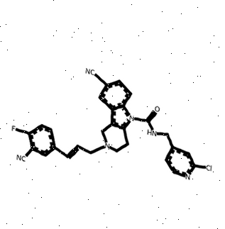 N#Cc1ccc2c(c1)c1c(n2C(=O)NCc2ccnc(Cl)c2)CCN(CC=Cc2ccc(F)c(C#N)c2)C1